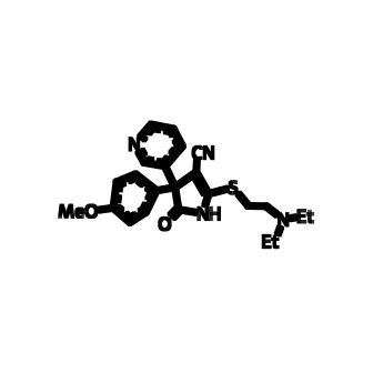 CCN(CC)CCSC1=C(C#N)C(c2ccc(OC)cc2)(c2cccnc2)C(=O)N1